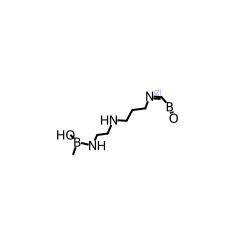 CB(O)NCCNCCC/N=C\B=O